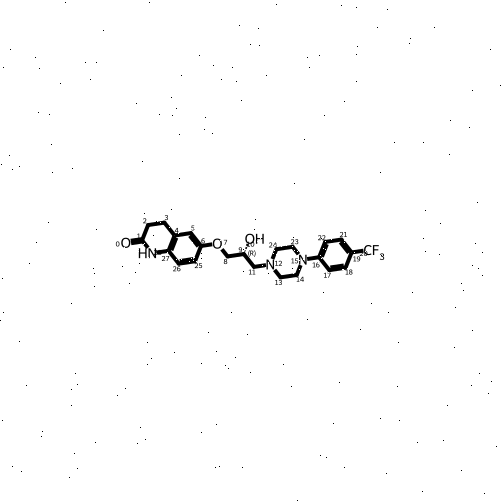 O=C1CCc2cc(OC[C@H](O)CN3CCN(c4ccc(C(F)(F)F)cc4)CC3)ccc2N1